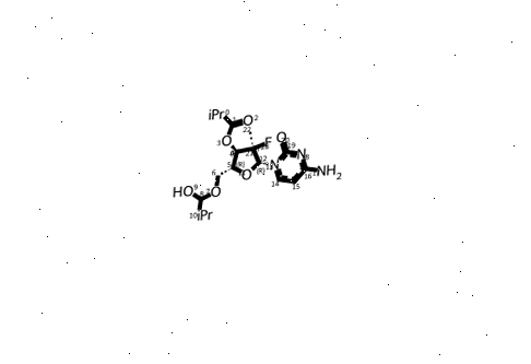 CC(C)C(=O)O[C@@H]1[C@@H](COC(O)C(C)C)O[C@@H](n2ccc(N)nc2=O)[C@]1(C)F